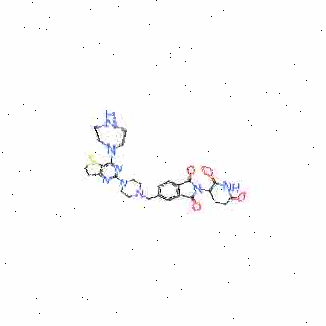 O=C1CCC(N2C(=O)c3ccc(CN4CCN(c5nc6c(c(N7CCNCC7)n5)SCC6)CC4)cc3C2=O)C(=O)N1